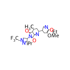 CCOC1=C(OC)CC(C2CC(C)C3C(=O)N(C4C=NN(CC(F)(F)F)C4)C(OC(C)C)C3=N2)C=N1